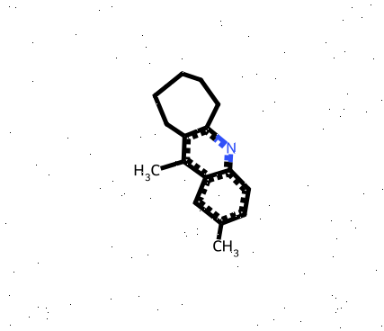 Cc1ccc2nc3c(c(C)c2c1)CCCCC3